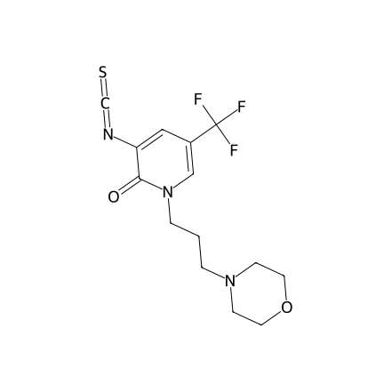 O=c1c(N=C=S)cc(C(F)(F)F)cn1CCCN1CCOCC1